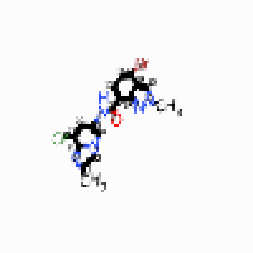 Cc1cn2cc(NC(=O)c3ccc(Br)c4cn(C)nc34)cc(Cl)c2n1